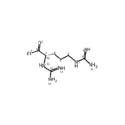 CCC(=O)[C@H](CCCNC(=N)N)NC(=N)N